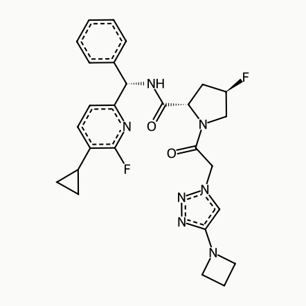 O=C(N[C@@H](c1ccccc1)c1ccc(C2CC2)c(F)n1)[C@@H]1C[C@@H](F)CN1C(=O)Cn1cc(N2CCC2)nn1